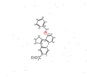 CCOC(=O)c1cccc(C2=C(c3ccccc3OCc3ccccc3)CCC2)c1